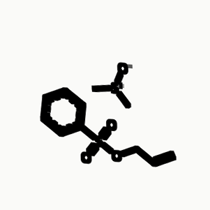 C=CCOS(=O)(=O)c1ccccc1.C[S+](C)[O-]